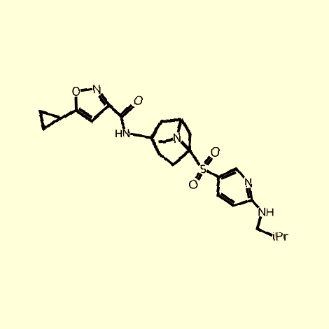 CC(C)CNc1ccc(S(=O)(=O)C23CCC(NC(=O)c4cc(C5CC5)on4)CC(C2)N3C)cn1